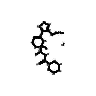 CCCCCCOc1nsnc1C1=CCC[N+](C)(C(C)OC(=O)C2CCCCC2)C1.[I-]